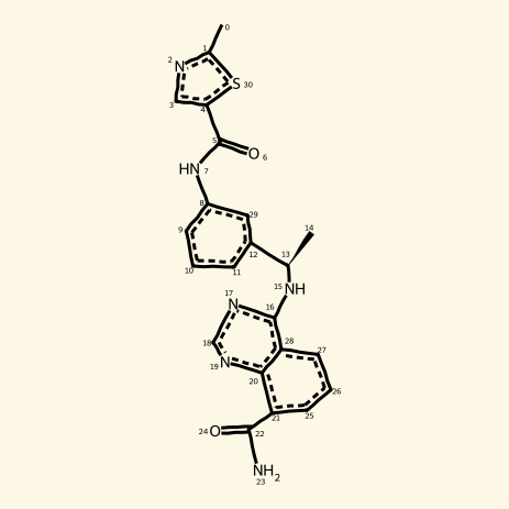 Cc1ncc(C(=O)Nc2cccc([C@@H](C)Nc3ncnc4c(C(N)=O)cccc34)c2)s1